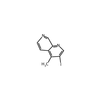 Cc1c(I)cnc2cnccc12